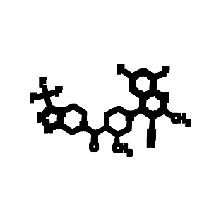 Cc1nc2c(F)cc(F)cc2c(N2CC[C@H](C(=O)N3CCn4c(nnc4C(F)(F)F)C3)[C@H](C)C2)c1C#N